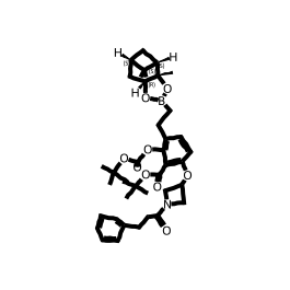 CC(C)(C)OC(=O)Oc1c(CCB2O[C@@H]3C[C@@H]4C[C@@H](C4(C)C)[C@]3(C)O2)ccc(OC2CN(C(=O)CCc3ccccc3)C2)c1C(=O)OC(C)(C)C